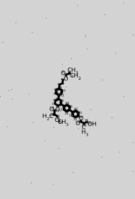 C=C(C)C(=O)OCCCc1ccc(C2=CCC(OC(=O)C(=C)COC)C(c3ccc(-c4ccc(OC(=O)C(C)CO)cc4)cc3)=C2)cc1